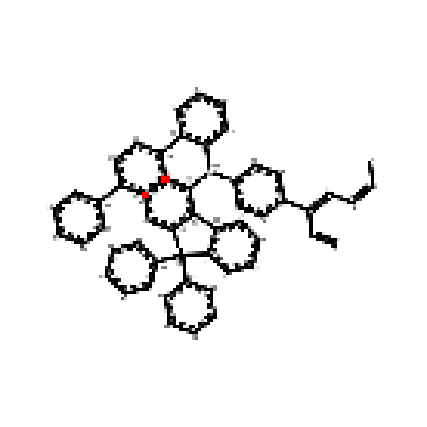 C=C/C(=C\C=C/C)c1ccc(N(c2ccccc2-c2ccc(-c3ccccc3)cc2)c2cccc3c2-c2ccccc2C3(c2ccccc2)c2ccccc2)cc1